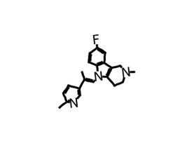 CC(=Cn1c2c(c3cc(F)ccc31)CN(C)CC2)c1ccc(C)nc1